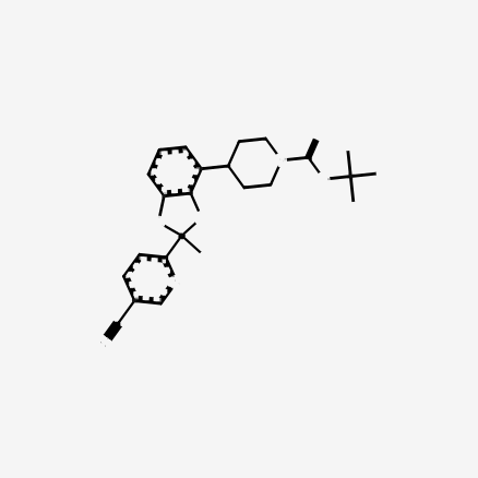 CC(C)(C)OC(=O)N1CCC(c2cccc3c2OC(C)(c2ccc(C#N)cn2)O3)CC1